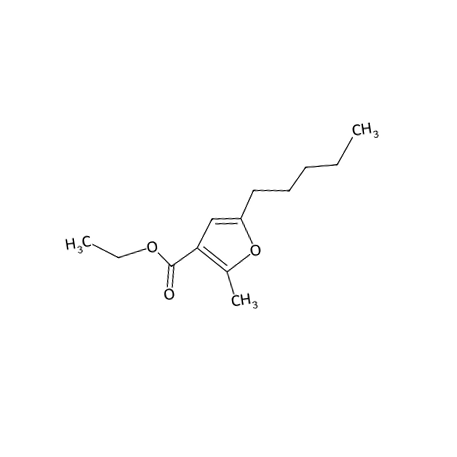 CCCCCc1cc(C(=O)OCC)c(C)o1